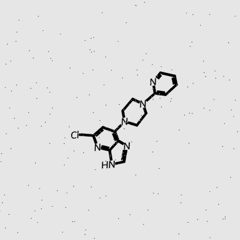 Clc1cc(N2CCN(c3ccccn3)CC2)c2nc[nH]c2n1